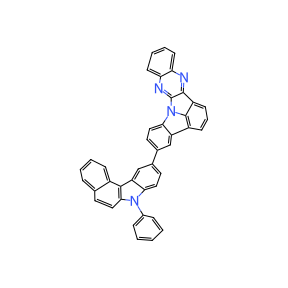 c1ccc(-n2c3ccc(-c4ccc5c(c4)c4cccc6c7nc8ccccc8nc7n5c46)cc3c3c4ccccc4ccc32)cc1